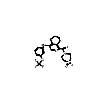 O=C(c1ncc(Nc2cccc(OC(F)(F)F)c2)c2c1CCCC2)N1CCS(=O)(=O)CC1